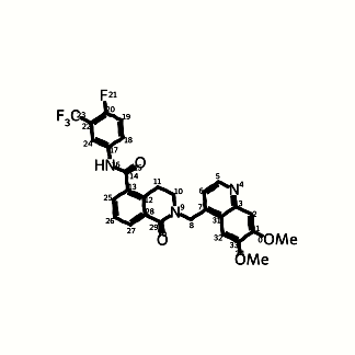 COc1cc2nccc(CN3CCc4c(C(=O)Nc5ccc(F)c(C(F)(F)F)c5)cccc4C3=O)c2cc1OC